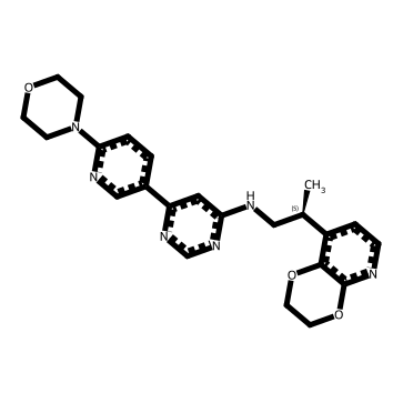 C[C@H](CNc1cc(-c2ccc(N3CCOCC3)nc2)ncn1)c1ccnc2c1OCCO2